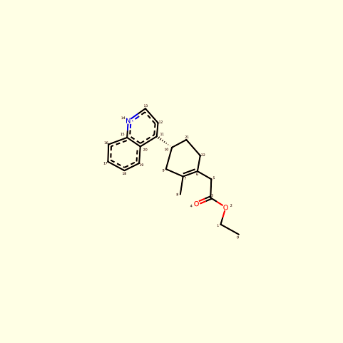 CCOC(=O)CC1=C(C)C[C@H](c2ccnc3ccccc23)CC1